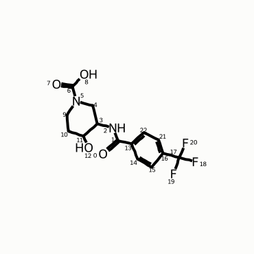 O=C(NC1CN(C(=O)O)CCC1O)c1ccc(C(F)(F)F)cc1